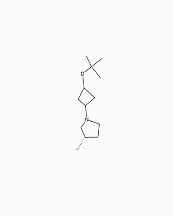 C[C@H]1CCN(C2CC(OC(C)(C)C)C2)C1